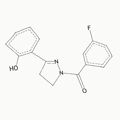 O=C(c1cccc(F)c1)N1CCC(c2ccccc2O)=N1